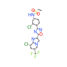 C=CS(=O)(=O)Nc1ccc(-c2noc(-c3cn4cc(C(F)(F)F)cc(Cl)c4n3)n2)c(Cl)c1